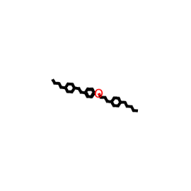 CCCCCC1CCC(CCCOc2ccc(CCC3CCC(CCCC)CC3)cc2)CC1